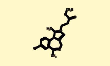 CC1=NCc2c[n+](CCC(=O)OC(=O)O)c(C)n2-c2ccc(Cl)cc21